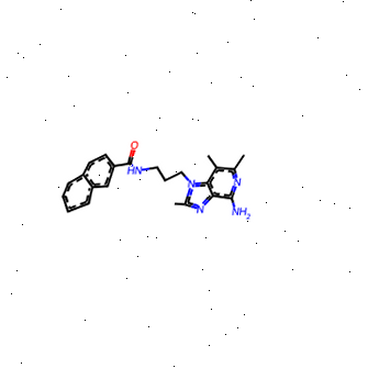 Cc1nc(N)c2nc(C)n(CCCNC(=O)c3ccc4ccccc4c3)c2c1C